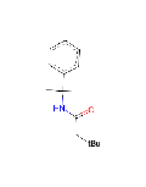 CC(C)(C)CC(=O)NC(C)(C)c1ccccc1